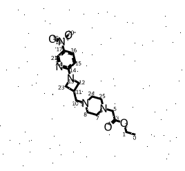 CCOC(=O)CN1CCN(CC2CN(c3ccc([N+](=O)[O-])cn3)C2)CC1